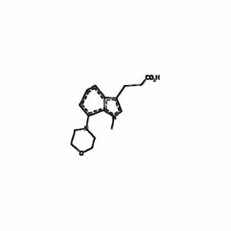 Cn1cc(CCC(=O)O)c2cccc(N3CCOCC3)c21